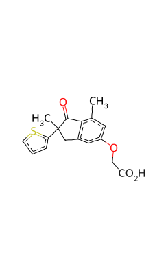 Cc1cc(OCC(=O)O)cc2c1C(=O)C(C)(c1cccs1)C2